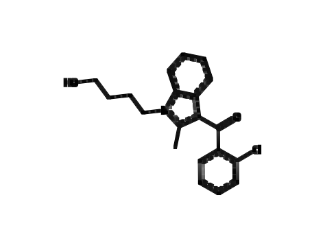 Cc1c(C(=O)c2ccccc2Cl)c2ccccc2n1CCCCO